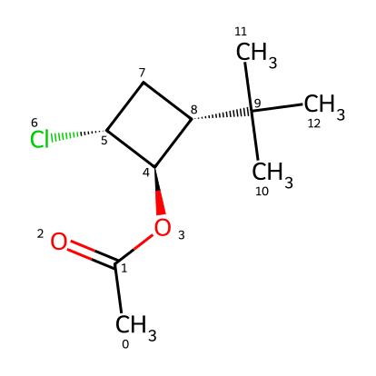 CC(=O)O[C@H]1[C@H](Cl)C[C@@H]1C(C)(C)C